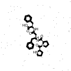 O=C(C[C@H](Cc1ccccc1)NC(=O)[C@H]1CCCN1C(=O)[C@H]1CCCN1)N[C@H](Cc1ccccc1)C(=O)O